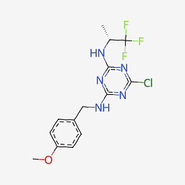 COc1ccc(CNc2nc(Cl)nc(N[C@H](C)C(F)(F)F)n2)cc1